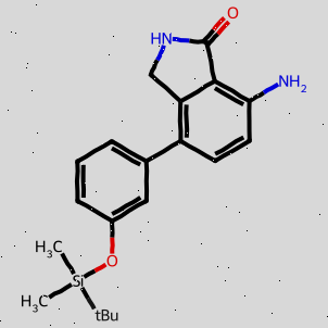 CC(C)(C)[Si](C)(C)Oc1cccc(-c2ccc(N)c3c2CNC3=O)c1